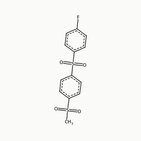 CS(=O)(=O)c1ccc(S(=O)(=O)c2ccc(F)cc2)cc1